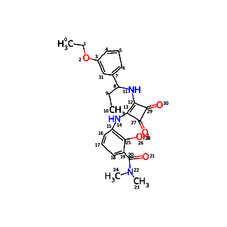 CCOc1cccc(C(CC)Nc2c(Nc3cccc(C(=O)N(C)C)c3O)c(=O)c2=O)c1